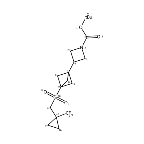 CC(C)(C)OC(=O)N1CC(C23CC(S(=O)(=O)CC4(C(F)(F)F)CC4)(C2)C3)C1